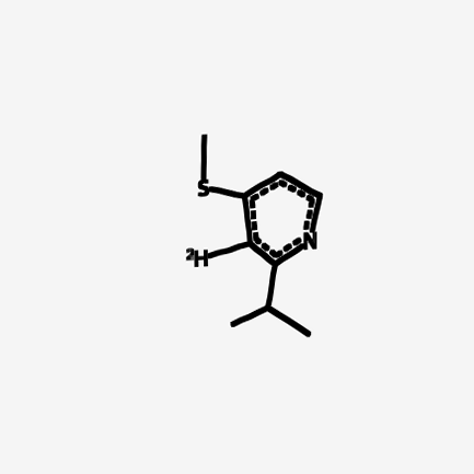 [2H]c1c(SC)ccnc1C(C)C